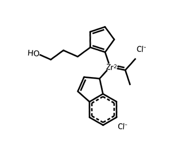 C[C](C)=[Zr+2]([C]1=C(CCCO)C=CC1)[CH]1C=Cc2ccccc21.[Cl-].[Cl-]